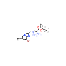 CC(C)(C)OC(=O)/C(N)=C/N(N)Cc1cn2cc(C3CC3)cc(Br)c2n1